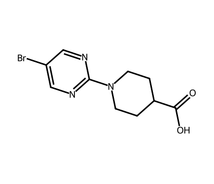 O=C(O)C1CCN(c2ncc(Br)cn2)CC1